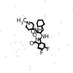 CN1CCC(C#N)(NC(=O)C(CC2CCCCC2)NC2=NC(=O)c3cc(F)c(F)cc32)CC1